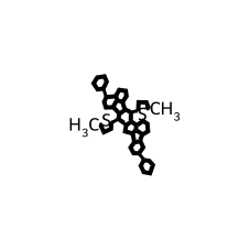 Cc1ccc(-c2c3cc4c5ccc(-c6ccccc6)cc5c5cccc(c3c(-c3ccc(C)s3)c3c6cccc7c(-c8ccccc8)ccc(c23)c76)c54)s1